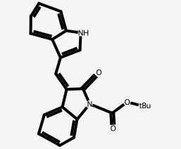 CC(C)(C)OC(=O)N1C(=O)C(=Cc2c[nH]c3ccccc23)c2ccccc21